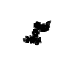 CC(=O)Nc1ccc(C(C)O)cc1-c1ccc(-n2c(=N)n(Cc3ccccc3Cl)c3ccccc32)nn1